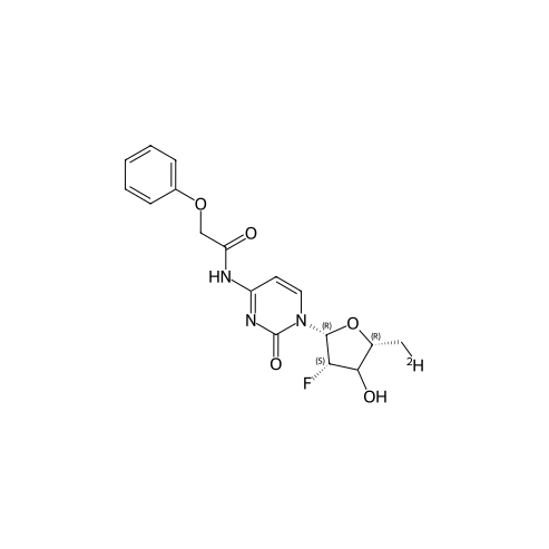 [2H]C[C@H]1O[C@@H](n2ccc(NC(=O)COc3ccccc3)nc2=O)[C@@H](F)C1O